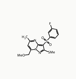 COCc1cc(C)nc2c(S(=O)(=O)c3cccc(F)c3)c(SC)nn12